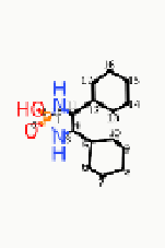 O=P1(O)NC(C2CCCCC2)C(C2CCCCC2)N1